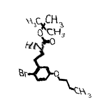 CCCCOc1ccc(Br)c(CCNC(=O)OC(C)(C)C)c1